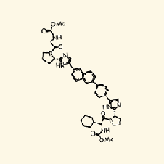 COC(=O)NCC(=O)N1CCC[C@H]1c1ncc(-c2ccc3cc(-c4ccc(-c5cnc([C@@H]6CCCN6C(=O)[C@H](NC(=O)OC)C6CCCCC6)[nH]5)cc4)ccc3c2)[nH]1